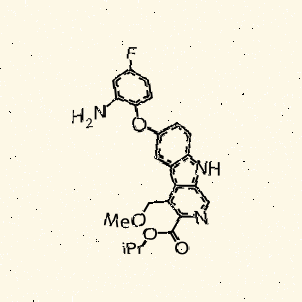 COCc1c(C(=O)OC(C)C)ncc2[nH]c3ccc(Oc4ccc(F)cc4N)cc3c12